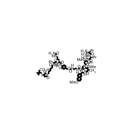 CCC[C@@H]([C@@H](CC(=O)N1C[C@@H](OC(=O)NCCNC(=O)OCc2ccc(NC(=O)[C@H](CCCNC(N)=O)NC(=O)[C@@H](NC(=O)CCCCCN3C(=O)CC(SCC4(CC(=O)O)CC4)C3=O)C(C)C)cc2)C[C@H]1[C@H](OC)[C@@H](C)C(=O)NCC(=O)c1ccc2cc(OC)ccc2c1)OC)N(C)C(=O)[C@@H](NC(=O)[C@H](C(C)C)N(C)C)C(C)C